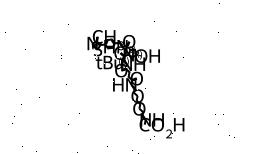 Cc1ncsc1-c1ccc(CNC(=O)[C@@H]2C[C@@H](O)CN2C(=O)[C@@H](NC(=O)CCC(=O)NCCOCCOCCNC(=O)O)C(C)(C)C)cc1